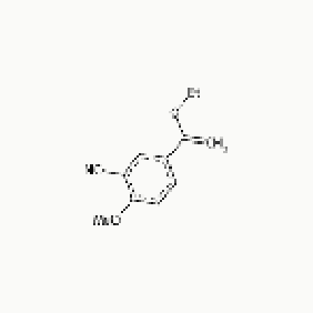 C=C(OCC)c1ccc(OC)c(C#N)c1